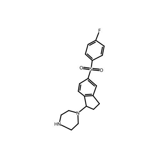 O=S(=O)(c1ccc(F)cc1)c1ccc2c(c1)CCC2N1CCNCC1